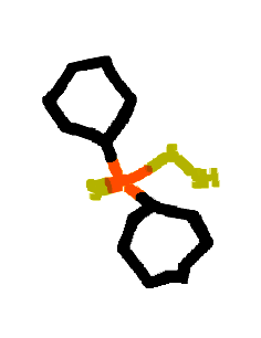 S=P(SS)(C1CCCCC1)C1CCCCC1